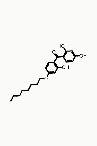 CCCCCCCCOc1ccc(C(=O)c2ccc(O)cc2O)c(O)c1